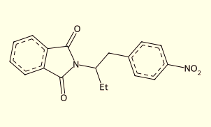 CCC(Cc1ccc([N+](=O)[O-])cc1)N1C(=O)c2ccccc2C1=O